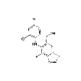 OCc1cc2ocnc2c(F)c1Nc1ccc(Br)cc1Cl